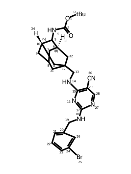 CC(C)(C)OC(=O)NC1[C@@H]2CC3C[C@H]1CC(CNc1nc(NCc4cccc(Br)c4)ncc1C#N)(C3)C2